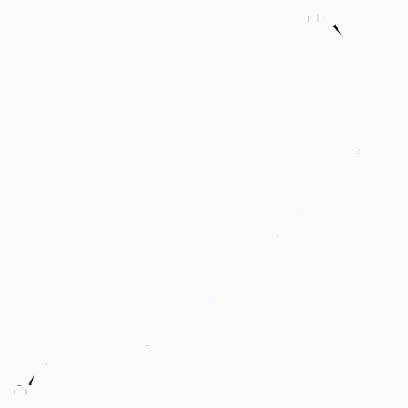 CCC[C@H]1CCC[C@H](C2CCC(/C=C/COC/C=C/C3CCC([C@H]4CCC[C@H](CCC)C4)CC3)CC2)C1